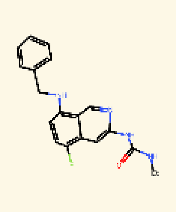 CCNC(=O)Nc1cc2c(F)ccc(NCc3ccccc3)c2cn1